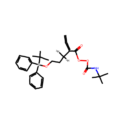 [2H]C([2H])(CCO[Si](c1ccccc1)(c1ccccc1)C(C)(C)C)C(=C=C)C(=O)OOC(=O)NC(C)(C)C